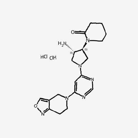 Cl.Cl.N[C@H]1CN(c2cc(N3CCc4nocc4C3)ncn2)C[C@@H]1N1CCCCC1=O